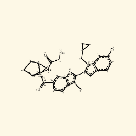 Cc1c(-c2cc3ccc(Cl)nc3n2CC2CC2)oc2cc(C(=O)N3CC4CCC3[C@@H]4NC(=O)OC(C)(C)C)ccc12